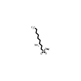 N.O=S(=O)(CCCCCCCCC(F)(F)F)OF